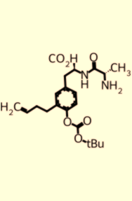 C=CCCc1cc(C[C@H](NC(=O)[C@H](C)N)C(=O)O)ccc1OC(=O)OC(C)(C)C